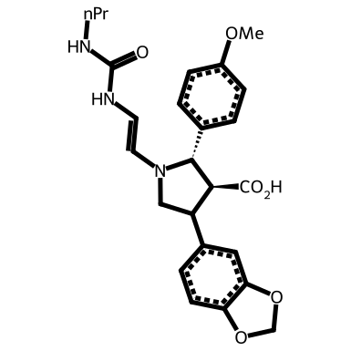 CCCNC(=O)NC=CN1CC(c2ccc3c(c2)OCO3)[C@H](C(=O)O)[C@H]1c1ccc(OC)cc1